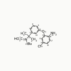 CC(C)(C)N(C(=O)O)C(C)(C)c1cccc(Oc2cc(Cl)ccc2N)c1